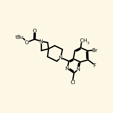 Cc1cc2c(N3CCC4(CC3)CN(C(=O)OC(C)(C)C)C4)nc(Cl)nc2c(F)c1Br